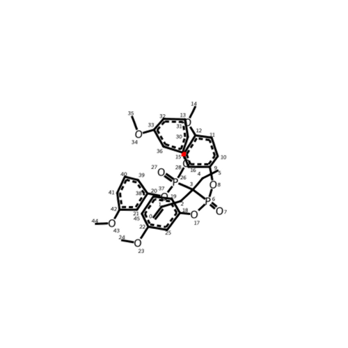 C=CCC(CC)(P(=O)(Oc1ccc(OC)cc1)Oc1cccc(OC)c1)P(=O)(Oc1cccc(OC)c1)Oc1cccc(OC)c1